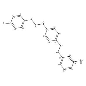 Cc1ccc(CCOc2ccc(CCc3cncc(Br)c3)cc2)cc1